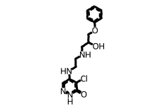 O=c1[nH]ncc(NCCNCC(O)COc2ccccc2)c1Cl